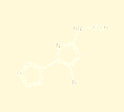 O=C(O)Nc1nc(-c2ccoc2)c(Br)s1